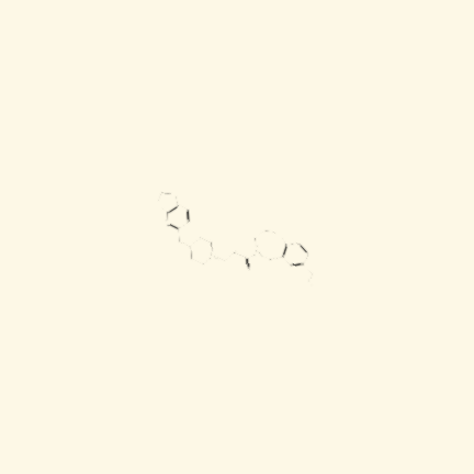 O=C(CCN1CCC(Cc2ccc3c(c2)OCO3)CC1)N1CCSc2ccc(CO)cc2C1